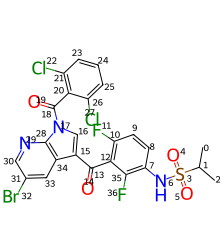 CC(C)S(=O)(=O)Nc1ccc(F)c(C(=O)c2cn(C(=O)c3c(Cl)cccc3Cl)c3ncc(Br)cc23)c1F